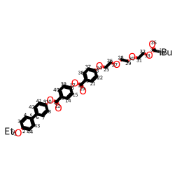 CCOc1ccc(-c2ccc(OC(=O)c3ccc(OC(=O)c4ccc(OCCOCCOCCOC(=O)C(C)CC)cc4)cc3)cc2)cc1